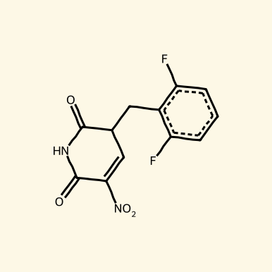 O=C1NC(=O)C(Cc2c(F)cccc2F)C=C1[N+](=O)[O-]